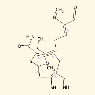 C=N/C(C=O)=C\C/C=C(\CC)O/C1=C\C(S)=C(\C=N)CC/C(C)=C(\C(N)=O)S1